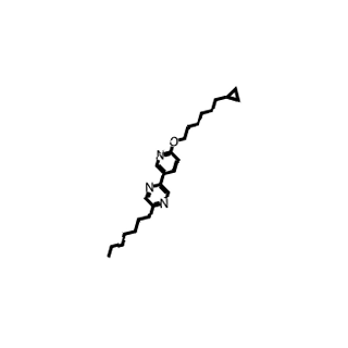 CCCCCCCc1cnc(-c2ccc(OCCCCCCC3CC3)nc2)cn1